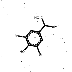 CCCC(C(=O)O)c1cc(Br)c(O)c(Br)c1